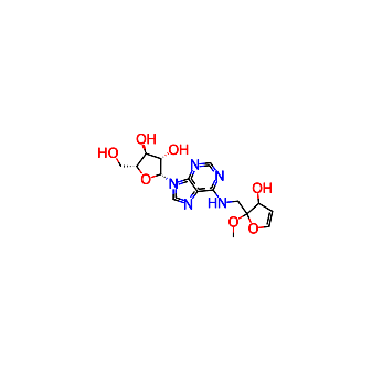 COC1(CNc2ncnc3c2ncn3[C@@H]2O[C@H](CO)[C@@H](O)[C@@H]2O)OC=CC1O